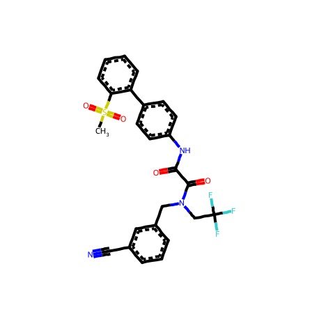 CS(=O)(=O)c1ccccc1-c1ccc(NC(=O)C(=O)N(Cc2cccc(C#N)c2)CC(F)(F)F)cc1